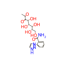 CC(=O)C(=O)C(O)C(O)C(O)C(O)CO.NC(=O)c1ccccc1.c1c[nH]nn1